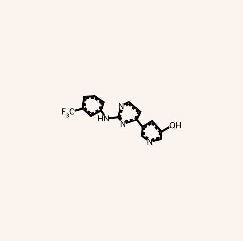 Oc1cncc(-c2ccnc(Nc3cccc(C(F)(F)F)c3)n2)c1